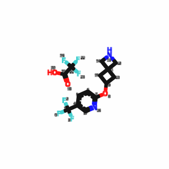 FC(F)(F)c1ccc(OC2CC3(CNC3)C2)nc1.O=C(O)C(F)(F)F